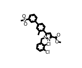 COC(=O)c1cc(-c2ccc(-c3cccc(S(C)(=O)=O)c3)cc2C)n(Cc2cccc(Cl)c2Cl)n1